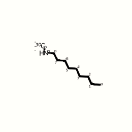 CCCCCCCCCN[30C]